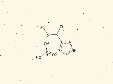 CCC(SC(C)=O)c1nc[nH]n1.O=[PH](O)O